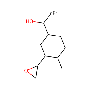 CCCC(O)C1CCC(C)C(C2CO2)C1